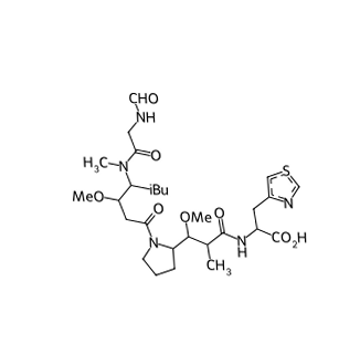 CCC(C)C(C(CC(=O)N1CCCC1C(OC)C(C)C(=O)NC(Cc1cscn1)C(=O)O)OC)N(C)C(=O)CNC=O